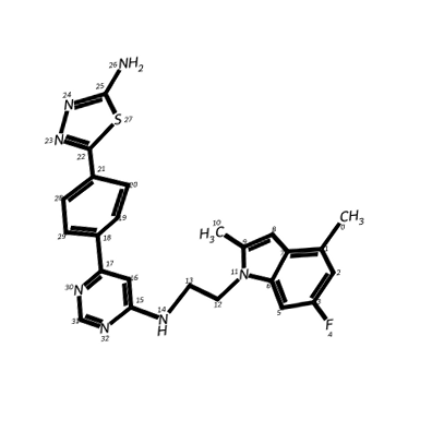 Cc1cc(F)cc2c1cc(C)n2CCNc1cc(-c2ccc(-c3nnc(N)s3)cc2)ncn1